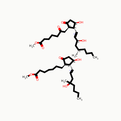 CCCCC(C)(O)C/C=C/[C@H]1[C@H](O)CC(=O)[C@@H]1CCCCCCC(=O)OC.CCCC[C@H](C)C[C@H](O)/C=C/[C@H]1[C@H](O)CC(=O)[C@@H]1CC(=O)CCCCC(=O)OC